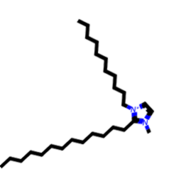 CCCCCCCCCCCCCc1n(C)cc[n+]1CCCCCCCCCCC